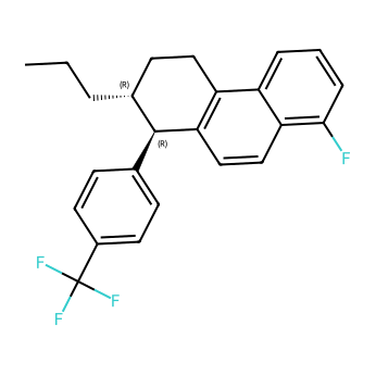 CCC[C@@H]1CCc2c(ccc3c(F)cccc23)[C@H]1c1ccc(C(F)(F)F)cc1